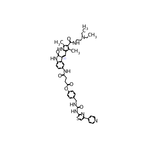 CCN(CC)CCNC(=O)c1c(C)[nH]c(/C=C2\C(=O)Nc3ccc(NC(=O)CCC(=O)Oc4ccc(CNC(=O)Nc5nc(-c6ccncc6)cs5)cc4)cc32)c1C